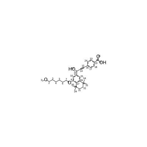 COCCCCCCOc1cc(C(O)C#Cc2ccc(C(=O)O)cc2)cc2c1C(C)(C)CCC2(C)C